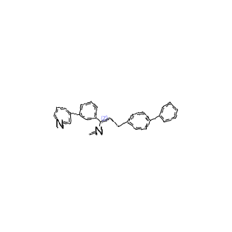 C=N/C(=C\Cc1ccc(-c2ccccc2)cc1)c1cccc(-c2cccnc2)c1